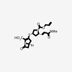 C=CCOC(=O)N1C[C@@H](SC2=C(C(=O)O)N3C(=O)C[C@@H]3C2)C[C@H]1/C=C/C(=O)NC